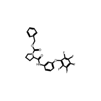 O=C(Nc1cccc(Oc2c(F)c(F)c(F)c(F)c2F)c1)C1CCCN1C(=O)OCc1ccccc1